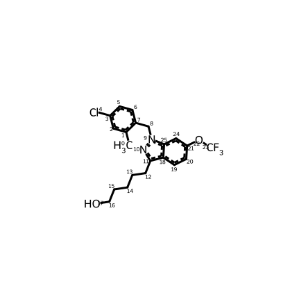 Cc1cc(Cl)ccc1Cn1nc(CCCCCO)c2ccc(OC(F)(F)F)cc21